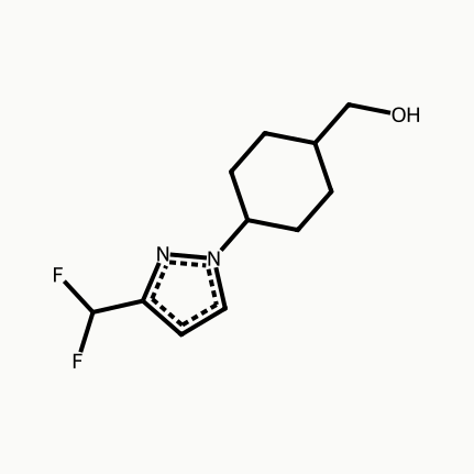 OCC1CCC(n2ccc(C(F)F)n2)CC1